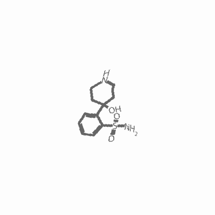 NS(=O)(=O)c1ccccc1C1(O)CCNCC1